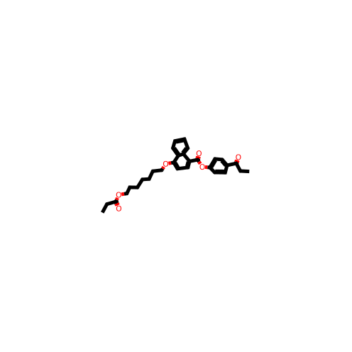 CCC(=O)OCCCCCCCOc1ccc(C(=O)Oc2ccc(C(=O)CC)cc2)c2ccccc12